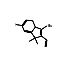 C=CC1=C(CCCC)C2CC=C(I)C=C2C1(C)C